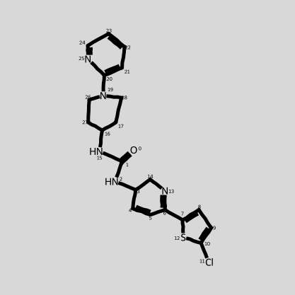 O=C(NC1C=CC(c2ccc(Cl)s2)=NC1)NC1CCN(c2ccccn2)CC1